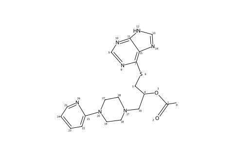 CC(=O)OC(CSc1ncnc2[nH]cnc12)CN1CCN(c2ccccn2)CC1